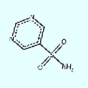 NS(=O)(=O)c1cncnc1